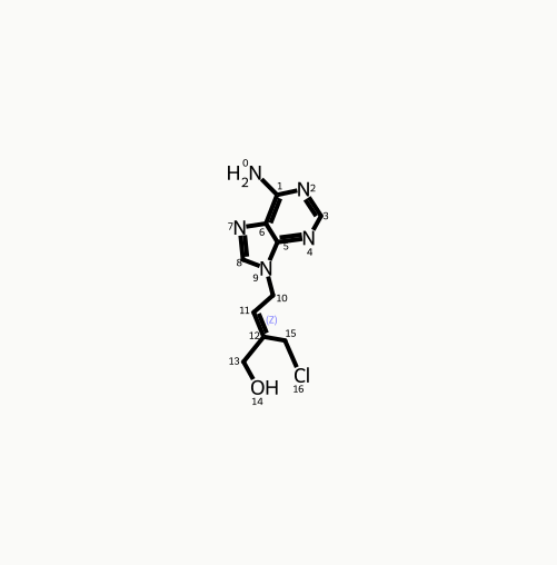 Nc1ncnc2c1ncn2C/C=C(/CO)CCl